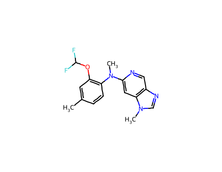 Cc1ccc(N(C)c2cc3c(cn2)ncn3C)c(OC(F)F)c1